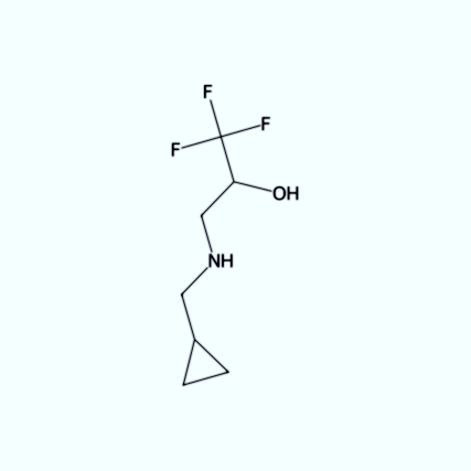 OC(CNCC1CC1)C(F)(F)F